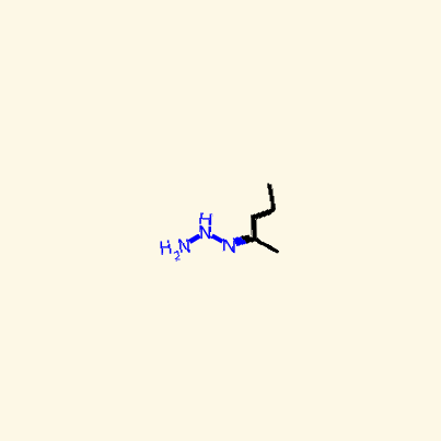 CCC/C(C)=N\NN